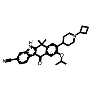 CC(C)Oc1cc2c(cc1C1CCN(C3CCC3)CC1)C(C)(C)c1[nH]c3cc(C#N)ccc3c1C2=O